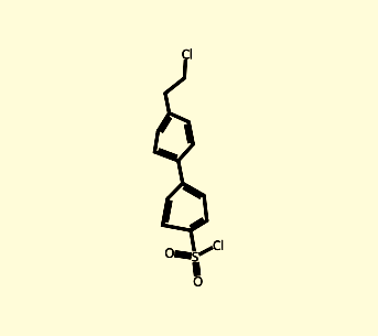 O=S(=O)(Cl)c1ccc(-c2ccc(CCCl)cc2)cc1